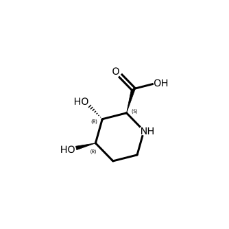 O=C(O)[C@H]1NCC[C@@H](O)[C@@H]1O